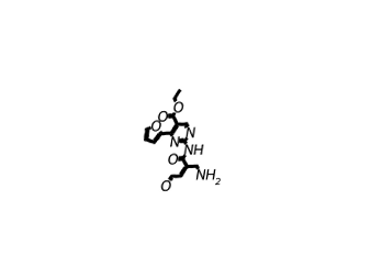 CCOC(=O)c1cnc(NC(=O)/C(=C\C=O)CN)nc1-c1ccco1